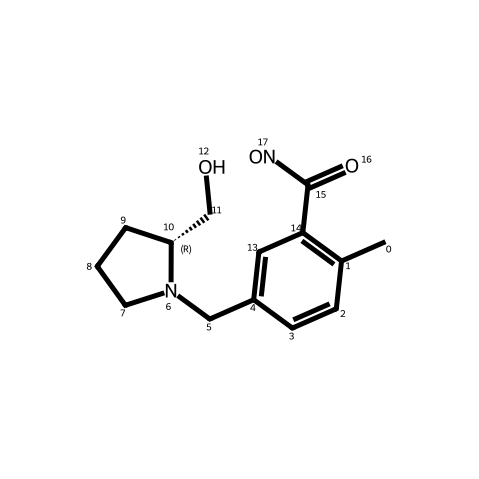 Cc1ccc(CN2CCC[C@@H]2CO)cc1C(=O)N=O